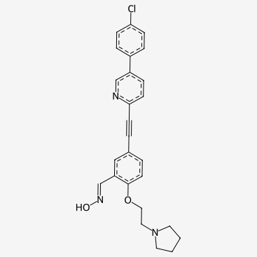 O/N=C/c1cc(C#Cc2ccc(-c3ccc(Cl)cc3)cn2)ccc1OCCN1CCCC1